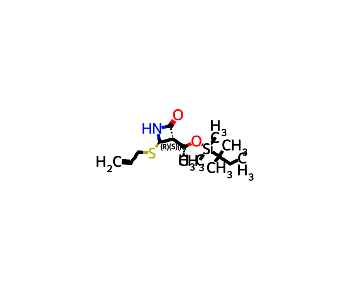 C=CCS[C@H]1NC(=O)[C@@H]1[C@@H](C)O[Si](C)(C)C(C)(C)CC